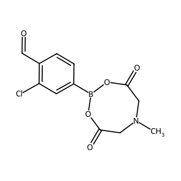 CN1CC(=O)OB(c2ccc(C=O)c(Cl)c2)OC(=O)C1